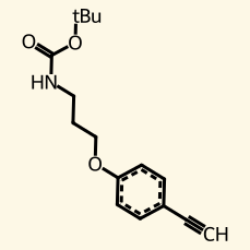 C#Cc1ccc(OCCCNC(=O)OC(C)(C)C)cc1